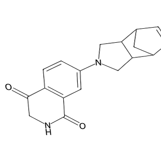 O=C1CNC(=O)c2cc(N3CC4C5C=CC(C5)C4C3)ccc21